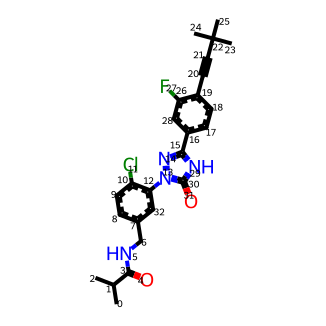 CC(C)C(=O)NCc1ccc(Cl)c(-n2nc(-c3ccc(C#CC(C)(C)C)c(F)c3)[nH]c2=O)c1